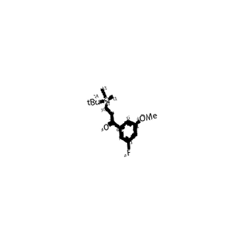 COc1cc(F)cc(C(=O)CC[Si](C)(C)C(C)(C)C)c1